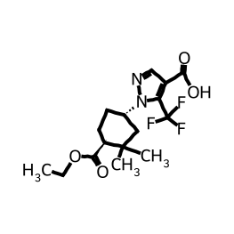 CCOC(=O)[C@H]1CC[C@H](n2ncc(C(=O)O)c2C(F)(F)F)CC1(C)C